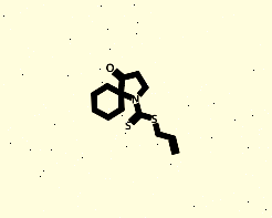 C=CCSC(=S)N1CCC(=O)C12CCCCC2